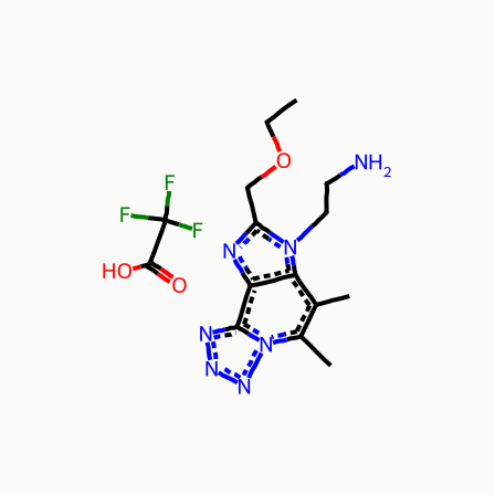 CCOCc1nc2c(c(C)c(C)n3nnnc23)n1CCN.O=C(O)C(F)(F)F